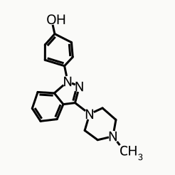 CN1CCN(c2nn(-c3ccc(O)cc3)c3ccccc23)CC1